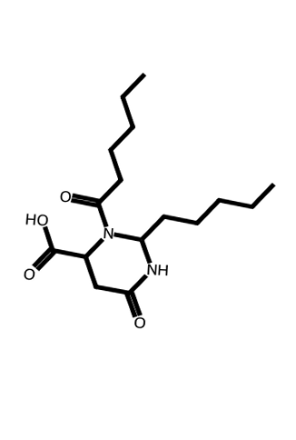 CCCCCC(=O)N1C(CCCCC)NC(=O)CC1C(=O)O